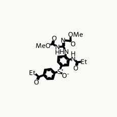 CCC(=O)Nc1cc([S+]([O-])c2ccc(C(=O)CC)cc2)ccc1NC(=NC(=O)OC)NC(=O)OC